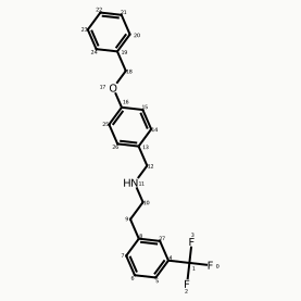 FC(F)(F)c1cccc(CCNCc2ccc(OCc3ccccc3)cc2)c1